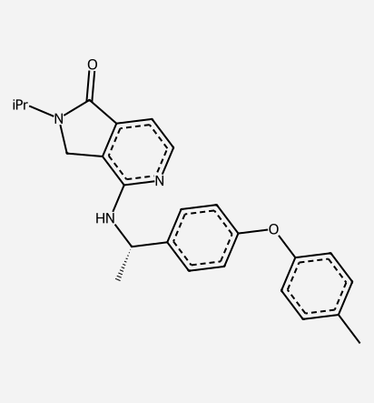 Cc1ccc(Oc2ccc([C@H](C)Nc3nccc4c3CN(C(C)C)C4=O)cc2)cc1